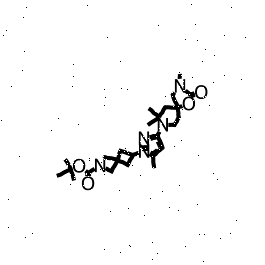 Cc1cc(N2CCC3(CN(C)C(=O)O3)CC2(C)C)nn1C1CC2(C1)CN(C(=O)OC(C)(C)C)C2